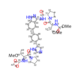 COC(=O)N[C@H](C(=O)N1CCC[C@H]1C(=O)Nc1n[nH]c2ccc(-c3ccc(-c4cnc([C@@H]5CCCN5C(=O)[C@@H](NC5OCO5)[C@@H](C)OC)[nH]4)cc3)cc12)[C@@H](C)OC